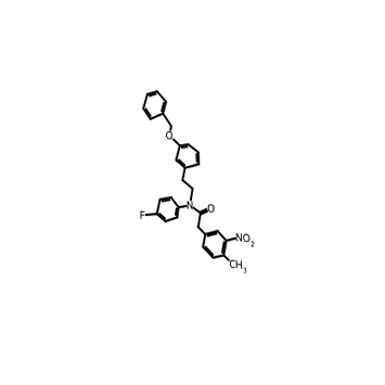 Cc1ccc(CC(=O)N(CCc2cccc(OCc3ccccc3)c2)c2ccc(F)cc2)cc1[N+](=O)[O-]